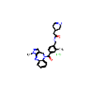 Cc1cc(C(=O)N2Cc3cnn(C)c3Nc3ccccc32)ccc1CNC(=O)CC1CCNCC1.Cl